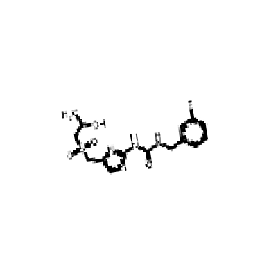 CC(O)CS(=O)(=O)Cc1csc(NC(=O)NCc2cccc(F)c2)n1